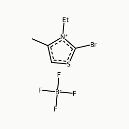 CC[n+]1c(C)csc1Br.F[B-](F)(F)F